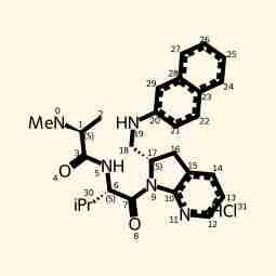 CN[C@@H](C)C(=O)N[C@H](C(=O)N1c2ncccc2C[C@H]1CNc1ccc2ccccc2c1)C(C)C.Cl